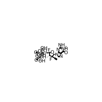 C#C[C@]1(F)[C@H](n2cnc3c(=O)[nH]c(N)nc32)O[C@](F)(COP(=O)(O)OP(=O)(O)OP(=O)(O)O)[C@H]1C